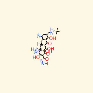 CN(C)c1cc(CNCC(C)(C)C)c(O)c2c1C[C@H]1C[C@@]3(N)C(N(C)C)C(O)=C(C(=O)N=N)C(=O)[C@@]3(O)C(O)=C1C2=O